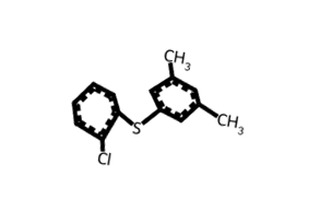 Cc1cc(C)cc(Sc2ccccc2Cl)c1